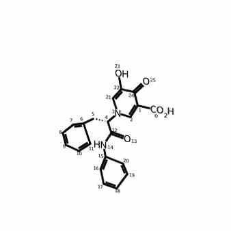 O=C(O)c1cn([C@@H](Cc2ccccc2)C(=O)Nc2ccccc2)cc(O)c1=O